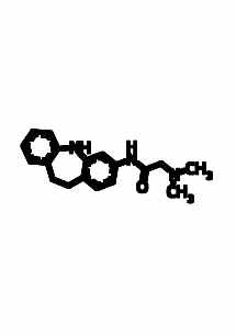 CN(C)CC(=O)Nc1ccc2c(c1)Nc1ccccc1CC2